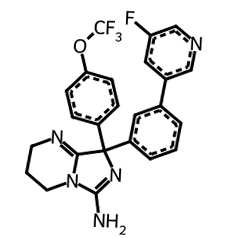 NC1=NC(c2ccc(OC(F)(F)F)cc2)(c2cccc(-c3cncc(F)c3)c2)C2=NCCCN12